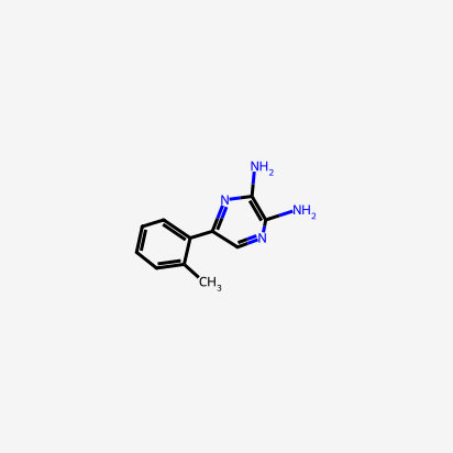 Cc1ccccc1-c1cnc(N)c(N)n1